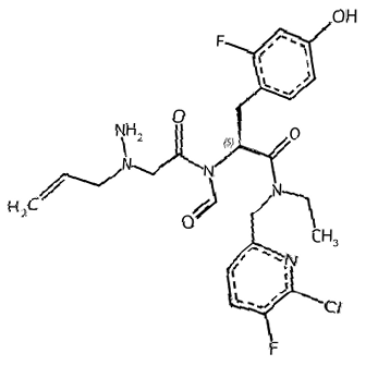 C=CCN(N)CC(=O)N(C=O)[C@@H](Cc1ccc(O)cc1F)C(=O)N(CC)Cc1ccc(F)c(Cl)n1